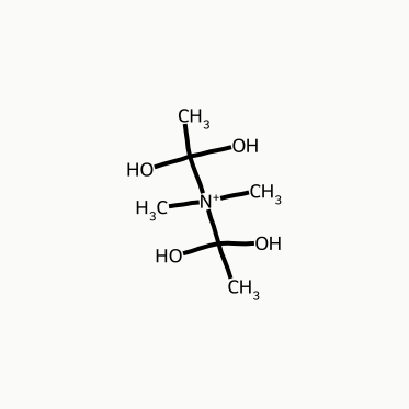 CC(O)(O)[N+](C)(C)C(C)(O)O